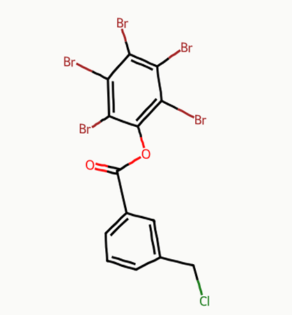 O=C(Oc1c(Br)c(Br)c(Br)c(Br)c1Br)c1cccc(CCl)c1